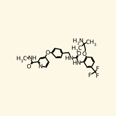 CNC(=O)c1cc(Oc2ccc(CNC(=O)Nc3cc(C(F)(F)F)ccc3OCC(C)(C)N)cc2)ccn1